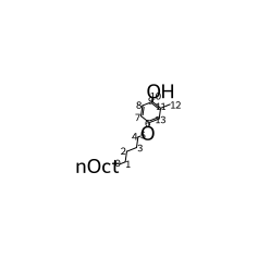 CCCCCCCCCCCCOc1ccc(O)c(C)c1